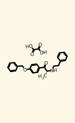 C[C@@H](NCCc1ccccc1)C(=O)c1ccc(OCc2ccccc2)cc1.O=C(O)C(=O)O